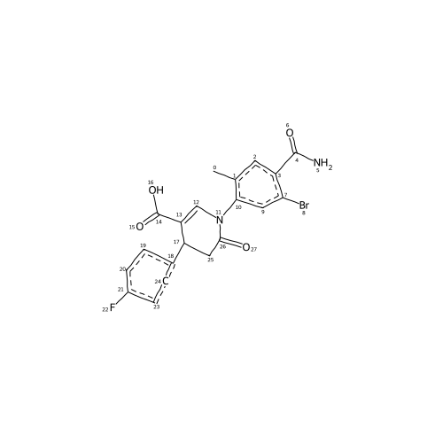 Cc1cc(C(N)=O)c(Br)cc1N1C=C(C(=O)O)C(c2ccc(F)cc2)CC1=O